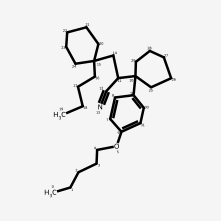 CCCCCOc1ccc(C2(C(C#N)CC3(CCCC)CCCCC3)CCCCC2)cc1